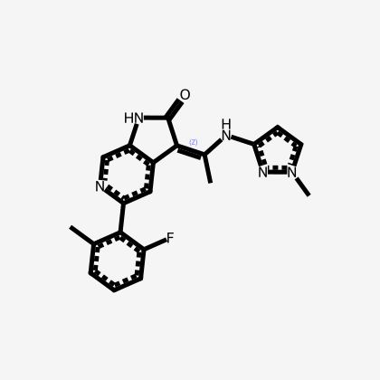 C/C(Nc1ccn(C)n1)=C1/C(=O)Nc2cnc(-c3c(C)cccc3F)cc21